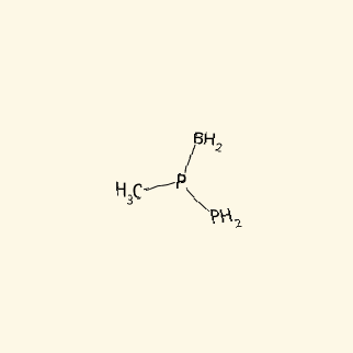 BP(C)P